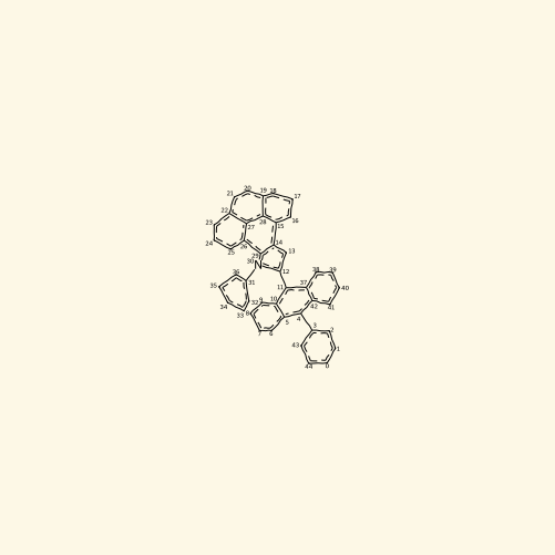 c1ccc(-c2c3ccccc3c(-c3cc4c5cccc6ccc7cccc(c7c65)c4n3-c3ccccc3)c3ccccc23)cc1